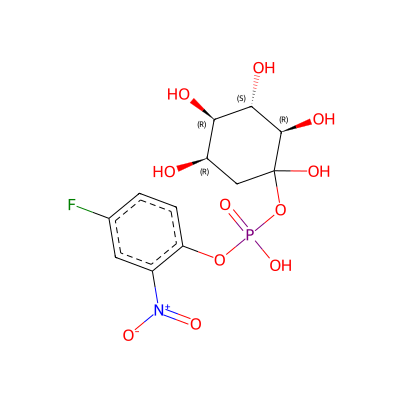 O=[N+]([O-])c1cc(F)ccc1OP(=O)(O)OC1(O)C[C@@H](O)[C@@H](O)[C@H](O)[C@H]1O